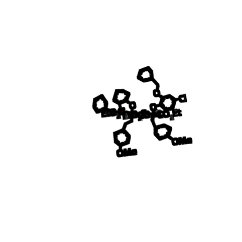 CCOC(=O)C(CCc1ccc(OC)cc1)(Oc1ccccc1OCc1ccccc1)C(=O)OCC.CCOC(=O)C(Cc1ccc(OC)cc1)(Oc1ccc(Cl)cc1OCc1ccccc1)C(=O)OCC